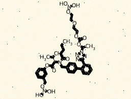 CCCCC(=O)N(Cc1ccc(-c2ccccc2-c2nnn(C(C)OC(=O)OCCOCCON(O)O)n2)cc1)[C@H](C(=O)Oc1cccc(CON(O)O)c1)C(C)C